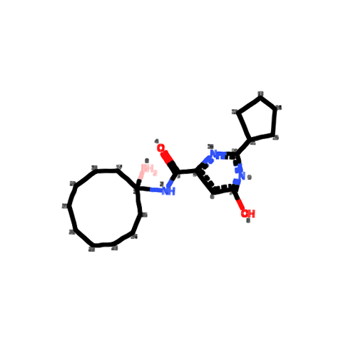 BC1(NC(=O)c2cc(O)nc(C3CCCC3)n2)CCCCCCCCC1